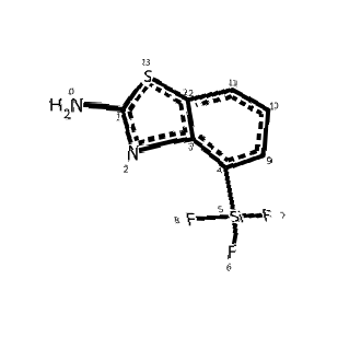 Nc1nc2c([Si](F)(F)F)cccc2s1